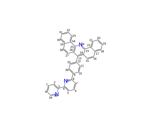 c1ccc(-c2cccc(-c3ccc(-c4c5ccc6ccccc6c5nc5c4ccc4ccccc45)cc3)n2)nc1